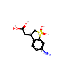 Nc1ccc2c(c1)S(=O)(=O)CC2CC(=O)O